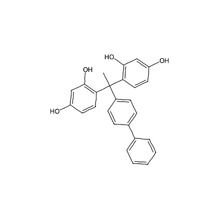 CC(c1ccc(-c2ccccc2)cc1)(c1ccc(O)cc1O)c1ccc(O)cc1O